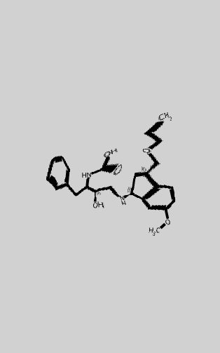 C=CCOC[C@@H]1C[C@H](NC[C@@H](O)C(Cc2ccccc2)NC(=O)O)c2cc(OC)ccc21